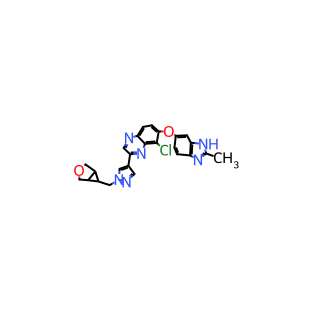 Cc1nc2ccc(Oc3ccc4ncc(-c5cnn(CC6C7COCC76)c5)nc4c3Cl)cc2[nH]1